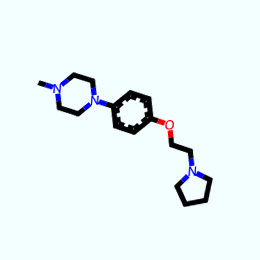 CN1CCN(c2ccc(OCCN3CCCC3)cc2)CC1